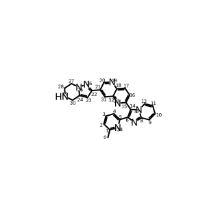 Cc1cccc(-c2nc3ccccn3c2-c2ccc3ncc(-c4cc5n(n4)CCNC5)cc3n2)n1